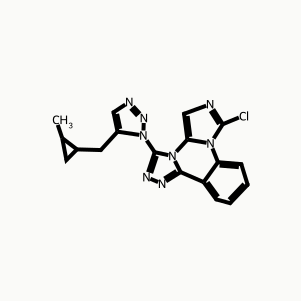 CC1CC1Cc1cnnn1-c1nnc2c3ccccc3n3c(Cl)ncc3n12